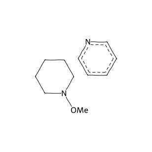 CON1CCCCC1.c1ccncc1